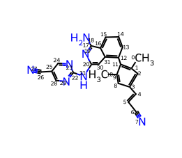 Cc1cc(C=CC#N)cc(C)c1-c1cccc2c(N)nc(Nc3ncc(C#N)cn3)cc12